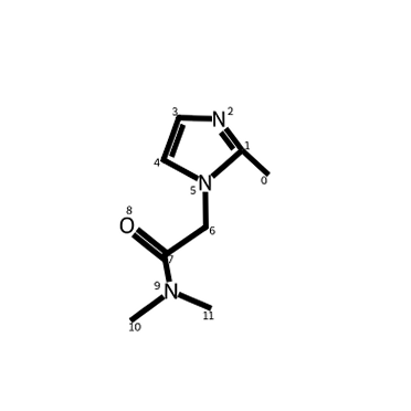 Cc1nccn1CC(=O)N(C)C